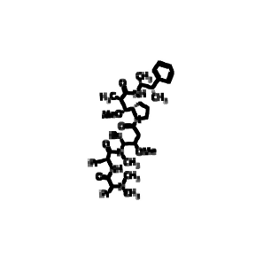 CC[C@H](C)[C@@H]([C@@H](CC(=O)N1CCC[C@H]1[C@H](OC)[C@@H](C)C(=O)N[C@H](C)[C@@H](C)c1ccccc1)OC)N(C)C(=O)[C@@H](NC(=O)C(C(C)C)N(C)C)C(C)C